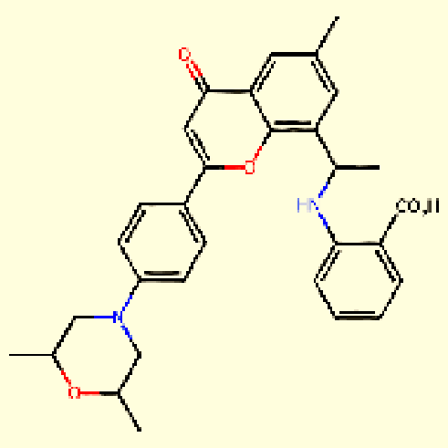 Cc1cc(C(C)Nc2ccccc2C(=O)O)c2oc(-c3ccc(N4CC(C)OC(C)C4)cc3)cc(=O)c2c1